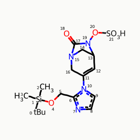 CC(C)(C)[Si](C)(C)OCc1nccn1C1=CC2CN(C1)C(=O)N2OS(=O)(=O)O